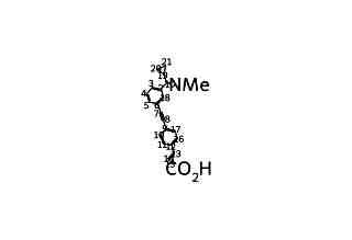 CN[C@@H](c1cccc(C#Cc2ccc(/C=C/C(=O)O)cc2)c1)C1CC1